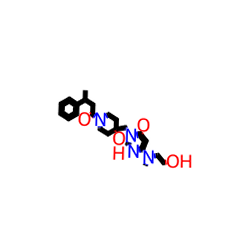 CC(CC(=O)N1CCC(O)(Cn2cnc(N(C)CCO)cc2=O)CC1)c1ccccc1